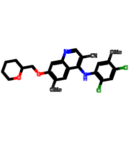 COc1cc(Nc2c(C#N)cnc3cc(OCC4CCCCO4)c(OC)cc23)c(Cl)cc1Cl